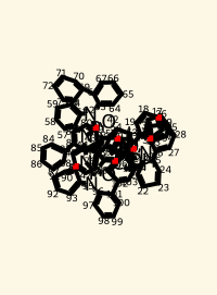 O=P1(C2=CC([PH]3(O)N4C5=CCC(C=C5c5ccccc5)[C@@]5(C=CC=CC5c5ccccc5)N3c3ccccc34)CC(P3(=O)N(c4ccccc4-c4ccccc4)c4ccccc4N3c3ccccc3-c3ccccc3)=C2)N(c2ccccc2-c2ccccc2)c2ccccc2N1c1ccccc1-c1ccccc1